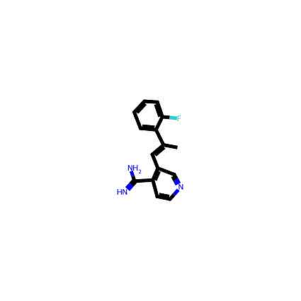 CC(=Cc1cnccc1C(=N)N)c1ccccc1F